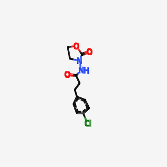 O=C(CCc1ccc(Cl)cc1)NN1CCOC1=O